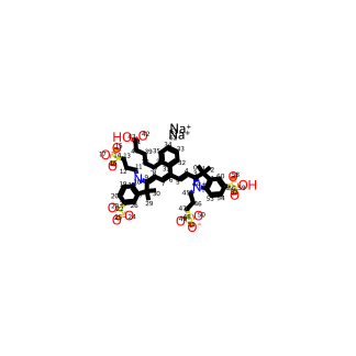 CC1(C)C(/C=C/C(=C/C=C2/N(CCCS(=O)(=O)[O-])c3ccc(S(=O)(=O)[O-])cc3C2(C)C)c2ccccc2CCCCC(=O)O)=[N+](CCCS(=O)(=O)[O-])c2ccc(S(=O)(=O)O)cc21.[Na+].[Na+]